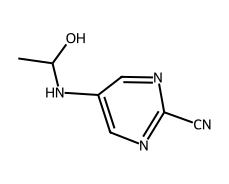 CC(O)Nc1cnc(C#N)nc1